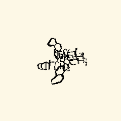 CC1=Cc2c(ccc3ccccc23)[CH]1[Zr+2]([CH]1C(C)=Cc2c1ccc1ccccc21)[GeH]([CH3])[CH3].[Cl-].[Cl-]